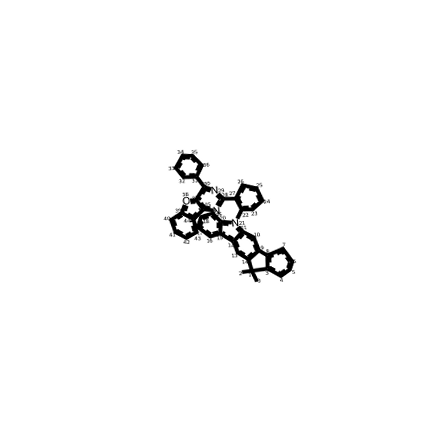 CC1(C)c2ccccc2-c2cc3c(cc21)c1ccccc1n3-c1ccccc1-c1nc(-c2ccccc2)c2oc3ccccc3c2n1